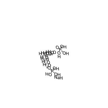 O.O.O.O.O.O.O.O.O.O=P(O)(O)O.O=P(O)(O)O.[NaH]